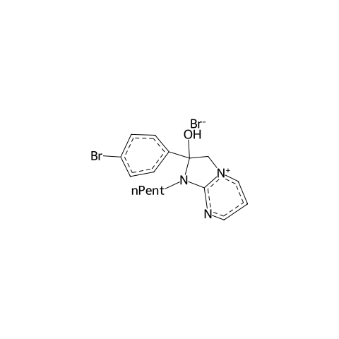 CCCCCN1c2nccc[n+]2CC1(O)c1ccc(Br)cc1.[Br-]